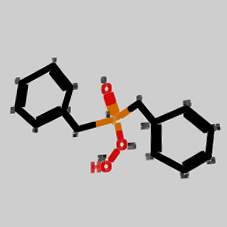 O=P(Cc1ccccc1)(Cc1ccccc1)OO